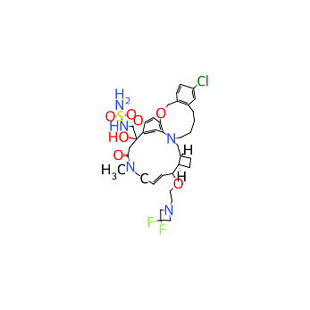 CN1CC/C=C/[C@H](OCCN2CC(F)(F)C2)[C@@H]2CC[C@H]2CN2CCCCc3cc(Cl)ccc3COc3ccc(cc32)[C@@](O)(C(=O)NS(N)(=O)=O)CC1=O